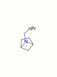 [CH2]CCCN1C2CCC1C2